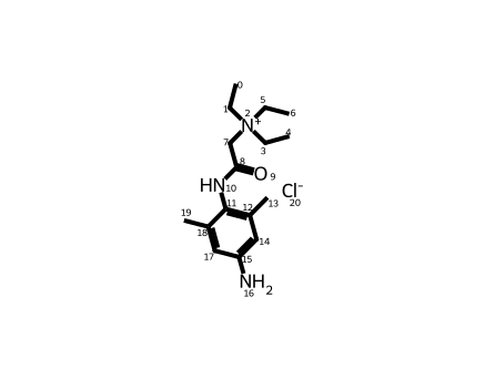 CC[N+](CC)(CC)CC(=O)Nc1c(C)cc(N)cc1C.[Cl-]